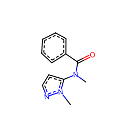 CN(C(=O)c1ccccc1)c1ccnn1C